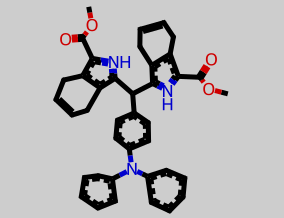 COC(=O)c1[nH]c(C(c2ccc(N(c3ccccc3)c3ccccc3)cc2)c2[nH]c(C(=O)OC)c3c2CC=CC3)c2c1CC=CC2